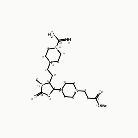 COC(=O)CCN1CCN(C2OC(=O)N(C)C2CCN2CCN(C(=N)N)CC2)CC1